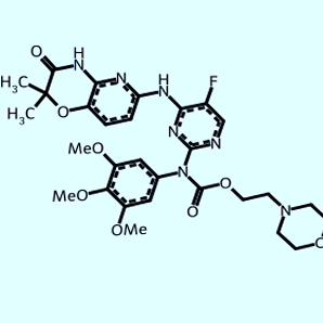 COc1cc(N(C(=O)OCCN2CCOCC2)c2ncc(F)c(Nc3ccc4c(n3)NC(=O)C(C)(C)O4)n2)cc(OC)c1OC